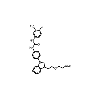 COCCOCCC1CN(c2ccc(NC(=O)Nc3ccc(Cl)c(C(F)(F)F)c3)cc2)c2cnccc21